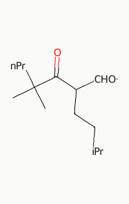 CCCC(C)(C)C(=O)C([C]=O)CCC(C)C